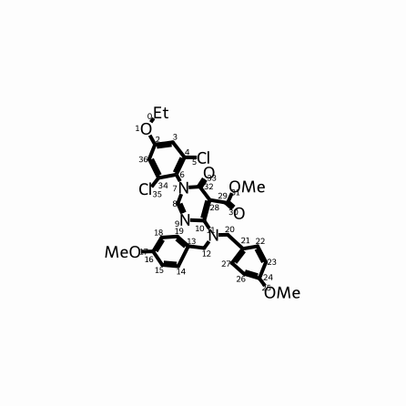 CCOc1cc(Cl)c(-n2cnc(N(Cc3ccc(OC)cc3)Cc3ccc(OC)cc3)c(C(=O)OC)c2=O)c(Cl)c1